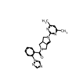 Cc1cc(C)nc(N2C=C3CN(C(=O)c4ccccc4-n4cncn4)CC3C2)n1